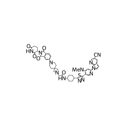 CNc1cc(-n2ccc3cc(C#N)cnc32)ncc1-c1nnc(C2CCC(NC(=O)CN3CC4(CCN(c5ccc6c(c5)C(=O)N(C5CCC(=O)NC5=O)C6=O)CC4)C3)CC2)s1